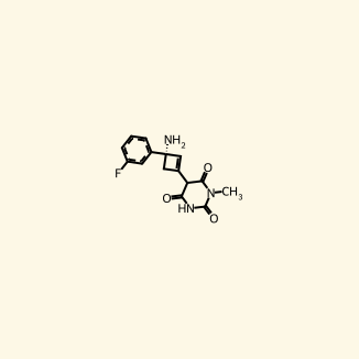 CN1C(=O)NC(=O)C(C2=C[C@](N)(c3cccc(F)c3)C2)C1=O